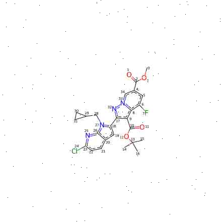 COC(=O)c1cc(F)c2c(C(=O)OC(C)(C)C)c(-c3cc4ccc(Cl)nc4n3CC3CC3)nn2c1